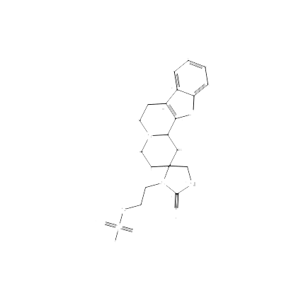 CS(=O)(=O)NCCN1C(=O)NCC12CCN1CCc3c(oc4ccccc34)C1C2